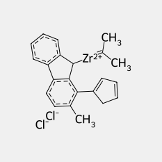 C[C](C)=[Zr+2][CH]1c2ccccc2-c2ccc(C)c(C3=CC=CC3)c21.[Cl-].[Cl-]